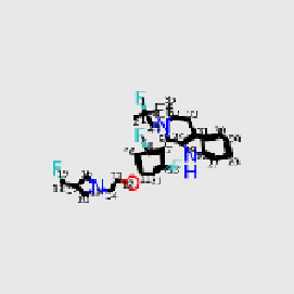 CC[C@@](C)(F)CN1[C@H](c2c(F)cc(OCCN3CC(CF)C3)cc2F)c2[nH]c3ccccc3c2C[C@H]1C